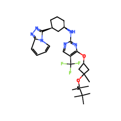 CC1(O[Si](C)(C)C(C)(C)C)CC(Oc2nc(N[C@@H]3CCC[C@H](c4nnc5ccccn45)C3)ncc2C(F)(F)F)C1